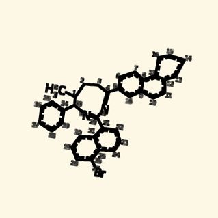 CC1CC/C(c2ccc3c(ccc4ccccc43)c2)=N\C(c2cccc3c(Br)cccc23)=N/C1c1ccccc1